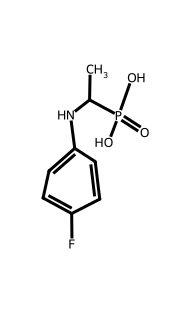 CC(Nc1ccc(F)cc1)P(=O)(O)O